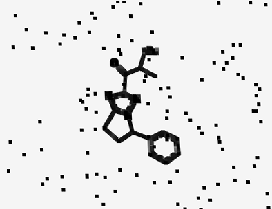 CCCCC(C)C(=O)c1nc2n(n1)C(c1ccccc1)CC2